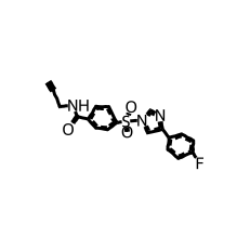 C#CCNC(=O)c1ccc(S(=O)(=O)n2cnc(-c3ccc(F)cc3)c2)cc1